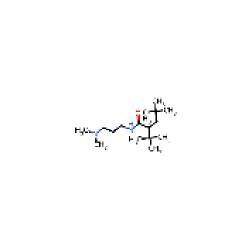 CN(C)CCCNC(=O)C(CC(C)(C)C)C(C)(C)C